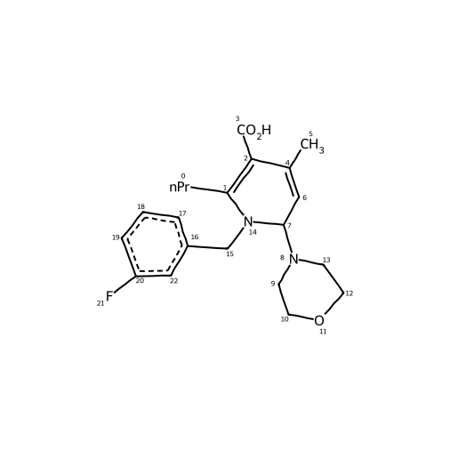 CCCC1=C(C(=O)O)C(C)=CC(N2CCOCC2)N1Cc1cccc(F)c1